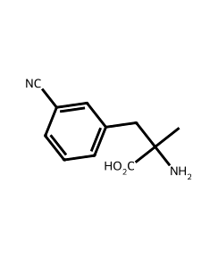 CC(N)(Cc1cccc(C#N)c1)C(=O)O